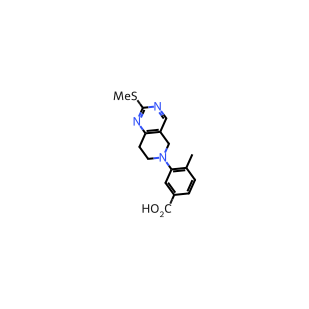 CSc1ncc2c(n1)CCN(c1cc(C(=O)O)ccc1C)C2